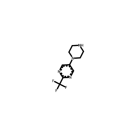 FC(F)(F)c1ncc(N2CCNCC2)cn1